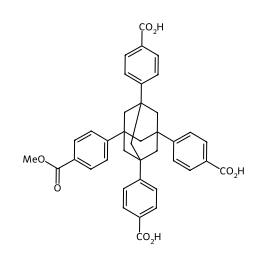 COC(=O)c1ccc(C23CC4(c5ccc(C(=O)O)cc5)CC(c5ccc(C(=O)O)cc5)(CC(c5ccc(C(=O)O)cc5)(C4)C2)C3)cc1